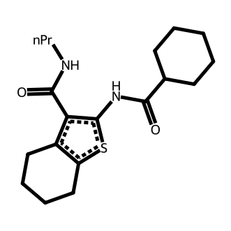 CCCNC(=O)c1c(NC(=O)C2CCCCC2)sc2c1CCCC2